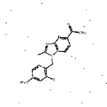 COC(=O)c1ccc2c(n1)nc(C)n2Cc1ccc(SC)cc1Cl